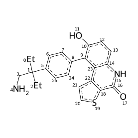 CCC(CC)(CN)c1ccc(-c2c(O)ccc3[nH]c(=O)c4sccc4c23)cc1